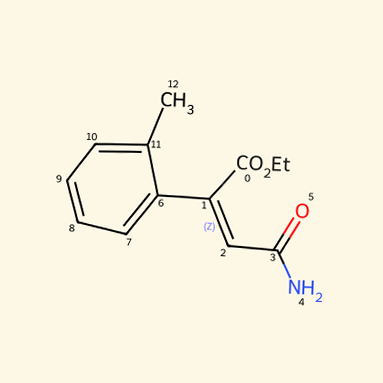 CCOC(=O)/C(=C\C(N)=O)c1ccccc1C